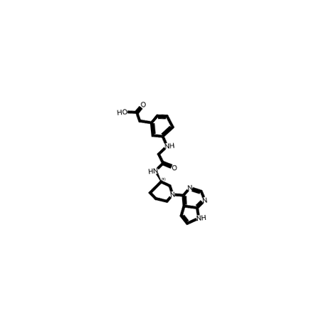 O=C(O)Cc1cccc(NCC(=O)N[C@@H]2CCCN(c3ncnc4[nH]ccc34)C2)c1